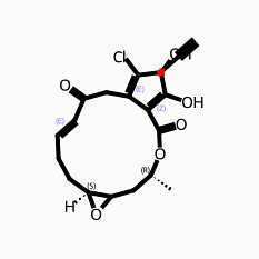 C#CC/C(O)=C1/C(=O)O[C@H](C)CC2O[C@H]2CC/C=C/C(=O)C/C1=C(\Cl)CO